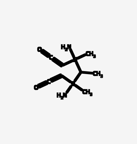 CC([Si](C)(N)C=C=O)[Si](C)(N)C=C=O